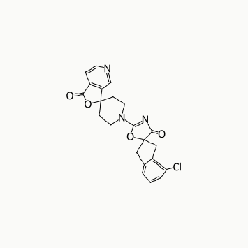 O=C1OC2(CCN(C3=NC(=O)C4(Cc5cccc(Cl)c5C4)O3)CC2)c2cnccc21